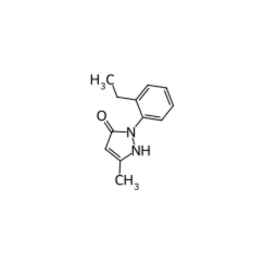 CCc1ccccc1-n1[nH]c(C)cc1=O